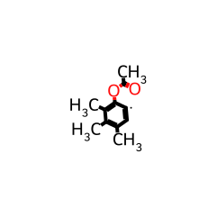 CC(=O)Oc1[c]cc(C)c(C)c1C